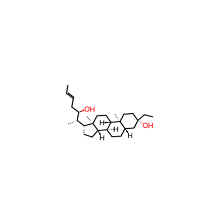 C/C=C/C[C@@H](O)[C@@H](C)[C@H]1CC[C@H]2[C@@H]3CC[C@H]4C[C@](O)(CC)CC[C@]4(C)[C@H]3CC[C@]12C